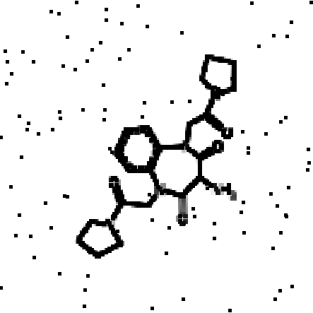 NC1C(=O)N(CC(=O)N2CCCC2)c2ccccc2N(CC(=O)N2CCCC2)C1=O